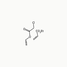 C=CC(=O)OCC.C=COC(=O)CCl